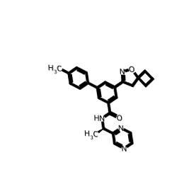 Cc1ccc(-c2cc(C(=O)N[C@H](C)c3cnccn3)cc(C3=NOC4(CCC4)C3)c2)cc1